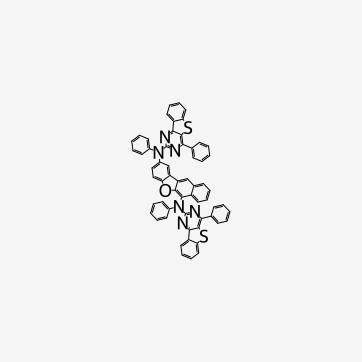 c1ccc(-c2nc(N(c3ccccc3)c3ccc4oc5c(N(c6ccccc6)c6nc(-c7ccccc7)c7sc8ccccc8c7n6)c6ccccc6cc5c4c3)nc3c2sc2ccccc23)cc1